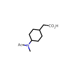 CC(=O)N(C)C1CCC(CC(=O)O)CC1